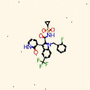 O=C(NS(=O)(=O)C1CC1)c1c(-c2ccc[nH]c2=O)c2cc(C(F)(F)F)ccc2n1Cc1ccccc1F